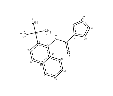 O=C(Nc1c(C(O)(C(F)(F)F)C(F)(F)F)ccc2ccccc12)c1ccoc1